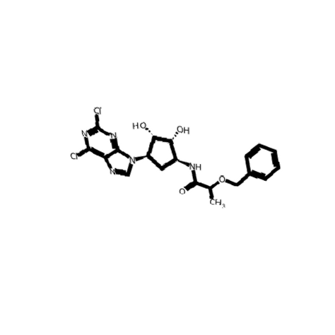 CC(OCc1ccccc1)C(=O)N[C@H]1C[C@@H](n2cnc3c(Cl)nc(Cl)nc32)[C@H](O)[C@@H]1O